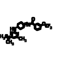 Cc1cc(N(C)C)nc(N[C@H]2CC[C@@H](CNC(=O)c3cccc(OC(F)(F)F)c3)CC2)n1